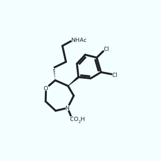 CC(=O)NCCC[C@H]1OCCN(C(=O)O)C[C@@H]1c1ccc(Cl)c(Cl)c1